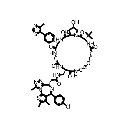 Cc1ncsc1-c1ccc([C@@H]2NC(=O)[C@@H]3C[C@@H](O)CN3C(=O)[C@H](C(C)(C)C)NC(=O)CCOCCNC(=O)[C@@H](CNC(=O)C[C@@H]3N=C(c4ccc(Cl)cc4)c4c(sc(C)c4C)-n4c(C)nnc43)NC(=O)CNC2=O)cc1